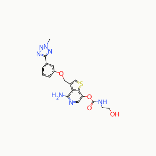 Cn1nnc(-c2cccc(OCc3csc4c(OC(=O)NCCO)cnc(N)c34)c2)n1